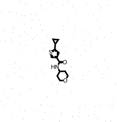 O=C(NC1CCOCC1)c1csc(C2CC2)c1